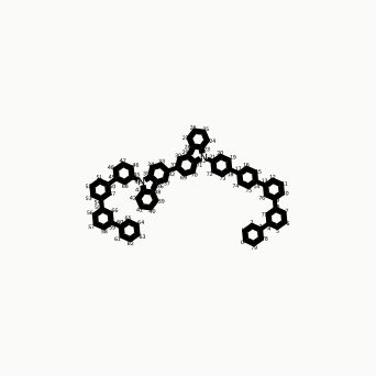 c1ccc(-c2cccc(-c3cccc(-c4ccc(-c5ccc(-n6c7ccccc7c7cc(-c8ccc9c(c8)c8ccccc8n9-c8cccc(-c9cccc(-c%10cccc(-c%11ccccc%11)c%10)c9)c8)ccc76)cc5)cc4)c3)c2)cc1